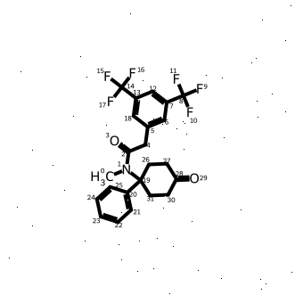 CN(C(=O)Cc1cc(C(F)(F)F)cc(C(F)(F)F)c1)C1(c2ccccc2)CCC(=O)CC1